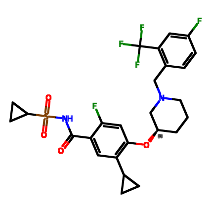 O=C(NS(=O)(=O)C1CC1)c1cc(C2CC2)c(O[C@@H]2CCCN(Cc3ccc(F)cc3C(F)(F)F)C2)cc1F